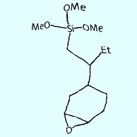 CCC(C[Si](OC)(OC)OC)C1CCC2OC2C1